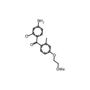 COCCOc1ccc(C(=O)c2ccc(N)cc2Cl)c(C)c1